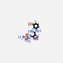 N=C(Nc1ccc(F)c(Br)c1)c1nonc1CNS(N)(=O)=O